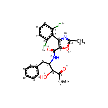 COC(=O)C(O)C(Cc1ccccc1)NC(=O)c1oc(C)nc1-c1c(F)cccc1F